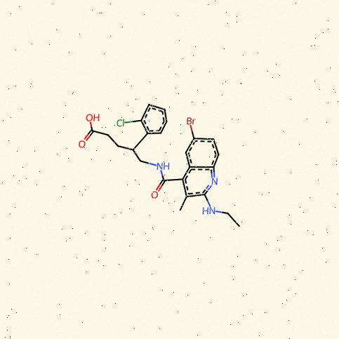 CCNc1nc2ccc(Br)cc2c(C(=O)NCC(CCC(=O)O)c2ccccc2Cl)c1C